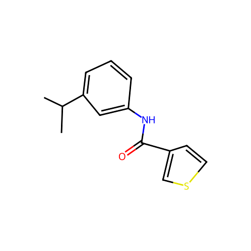 CC(C)c1cccc(NC(=O)c2ccsc2)c1